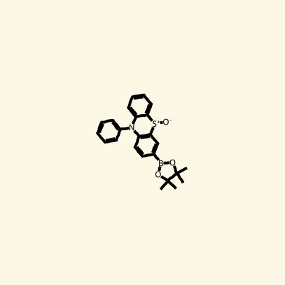 CC1(C)OB(c2ccc3c(c2)[S+]([O-])c2ccccc2N3c2ccccc2)OC1(C)C